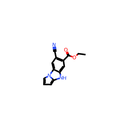 CCOC(=O)c1cc2[nH]c3cccn3c2cc1C#N